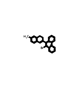 Cc1ccc2c(c1)CCC(c1c(Br)c3ccccc3c3ccccc13)=C2